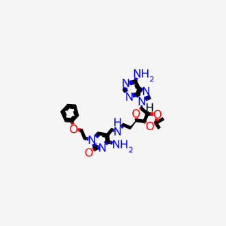 CC1(C)OC2[C@@H](CCNCc3cn(CCOc4ccccc4)c(=O)nc3N)O[C@@H](n3cnc4c(N)ncnc43)[C@H]2O1